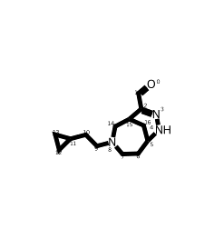 O=CC1=NNC2CCN(CCC3CC3)CC1C2